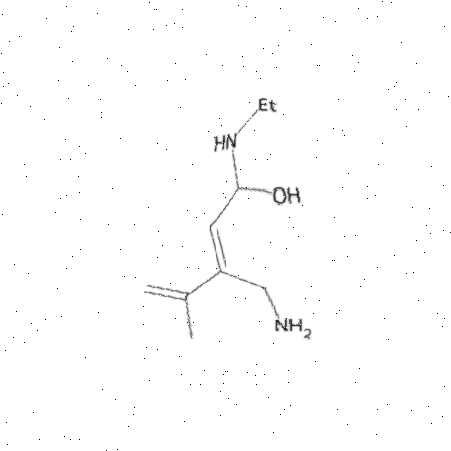 C=C(C)/C(=C/C(O)NCC)CN